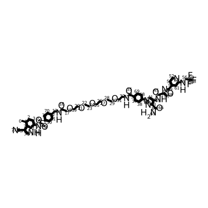 Cc1ccc(NS(=O)(=O)c2ccc(CNC(=O)COCCOCCOCCOCCOCCNC(=O)c3ccc(-n4cc(NC(=O)c5coc(-c6ccnc(NCC(F)(F)F)c6)n5)c(C(N)=O)n4)cc3)cc2)c2[nH]cc(C#N)c12